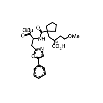 COCC[C@H](CC1(C(=O)NC(Cc2ncc(-c3ccccc3)o2)C(=O)OCC(C)C)CCCC1)C(=O)O